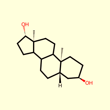 C[C@]12CCC3C(CC[C@H]4C[C@H](O)CC[C@]34C)C1CC[C@@H]2O